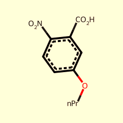 CCCOc1ccc([N+](=O)[O-])c(C(=O)O)c1